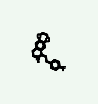 CN1CCc2cc3c(cc2C1CCc1ccc(F)cc1)OCCO3